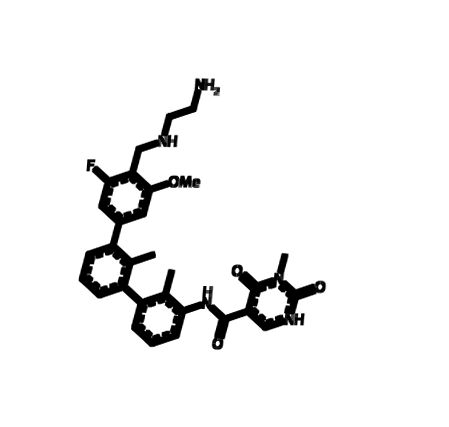 COc1cc(-c2cccc(-c3cccc(NC(=O)c4c[nH]c(=O)n(C)c4=O)c3C)c2C)cc(F)c1CNCCN